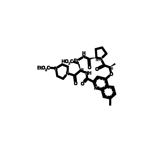 CCNC(=O)[C@@H]1CCCN1C(=O)[C@H](C)Oc1cc(C(=O)N[C@@H](CC(=O)O)C(=O)N2CCN(C(=O)OCC)CC2)nc2cc(C)ccc12